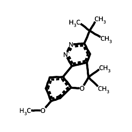 COc1ccc2c(c1)OC(C)(C)c1cc(C(C)(C)C)nnc1-2